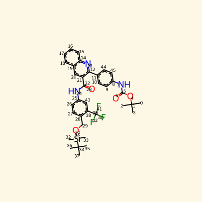 CC(C)(C)OC(=O)Nc1ccc(-c2nc3ccccc3cc2C(=O)Nc2ccc(CO[Si](C)(C)C(C)(C)C)c(C(F)(F)F)c2)cc1